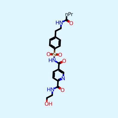 CCCC(=O)NCCc1ccc(S(=O)(=O)NC(=O)c2ccc(C(=O)NCCO)nc2)cc1